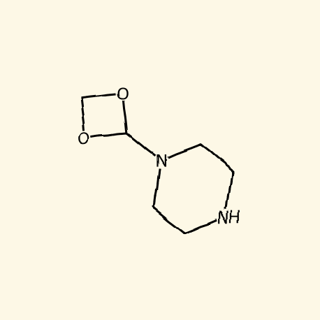 C1CN(C2OCO2)CCN1